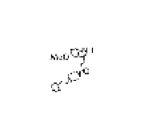 COc1ccc2[nH]c(C)c(C=CC(=O)N3CCN(CCc4ccccc4)CC3)c2c1